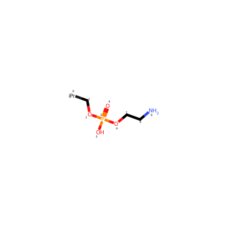 CC(C)COP(=O)(O)OCCN